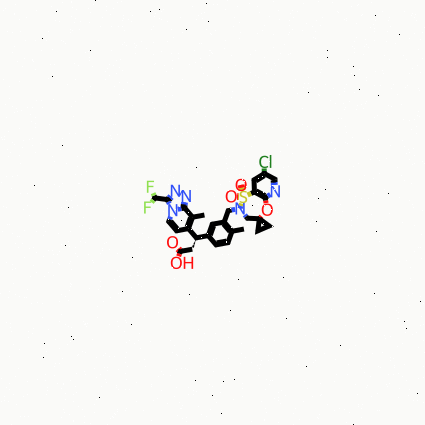 Cc1ccc([C@H](CC(=O)O)c2ccn3c(C(F)F)nnc3c2C)cc1CN1CC2(CC2)Oc2ncc(Cl)cc2S1(=O)=O